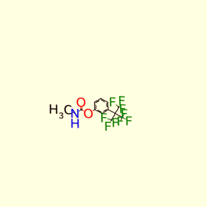 CNC(=O)Oc1cccc(C(C(F)(F)F)(C(F)(F)F)C(F)(F)F)c1